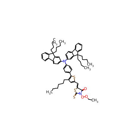 CCCCCCc1cc(/C=C2\SC(=S)N(OOCC)C2=O)sc1-c1ccc(N(c2ccc3c(c2)C(CCCC)(CCCC)c2ccccc2-3)c2ccc3c(c2)C(CCCC)(CCCC)c2ccccc2-3)cc1